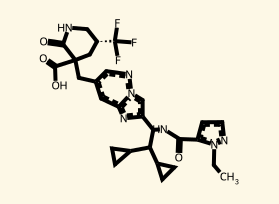 CCn1nccc1C(=O)NC(c1cn2ncc(CC3(C(=O)O)C[C@@H](C(F)(F)F)CNC3=O)cc2n1)C(C1CC1)C1CC1